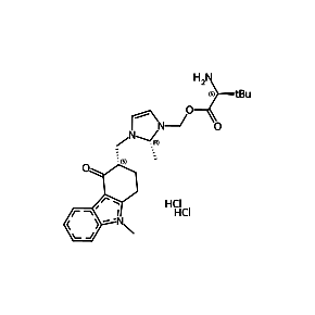 C[C@H]1N(COC(=O)[C@@H](N)C(C)(C)C)C=CN1C[C@@H]1CCc2c(c3ccccc3n2C)C1=O.Cl.Cl